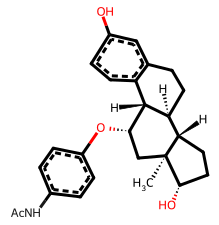 CC(=O)Nc1ccc(O[C@H]2C[C@]3(C)[C@@H](O)CC[C@H]3[C@@H]3CCc4cc(O)ccc4[C@H]32)cc1